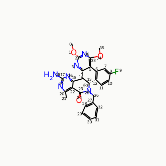 COc1ncc(-c2cc(F)ccc2[C@H]2Cc3nc(N)nc(C)c3C(=O)N2Cc2ccccc2)c(OC)n1